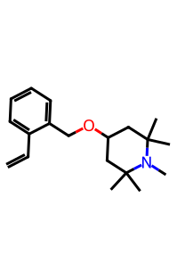 C=Cc1ccccc1COC1CC(C)(C)N(C)C(C)(C)C1